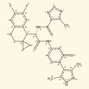 Cc1nonc1C(=O)N[C@H](C(=O)Nc1ccn(-c2c(C)n[nH]c2C)c(=O)c1)C1c2cc(F)c(F)cc2OCC12CC2